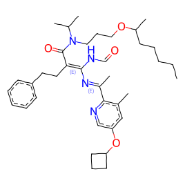 CCCCCC(C)OCCCN(C(=O)/C(CCc1ccccc1)=C(/N=C(\C)c1ncc(OC2CCC2)cc1C)NC=O)C(C)C